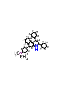 CP(C)c1ccc(-c2cc3c(c4ccccc24)C(c2ccccc2)=CC(c2ccccc2)N3)cc1